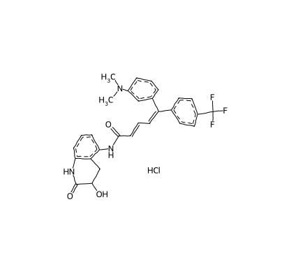 CN(C)c1cccc(/C(=C\C=C\C(=O)Nc2cccc3c2CC(O)C(=O)N3)c2ccc(C(F)(F)F)cc2)c1.Cl